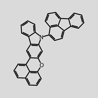 c1ccc2c(c1)-c1cccc3c(-n4c5ccccc5c5cc6c(cc54)Oc4cccc5cccc-6c45)ccc-2c13